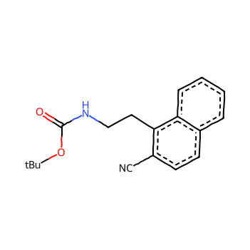 CC(C)(C)OC(=O)NCCc1c(C#N)ccc2ccccc12